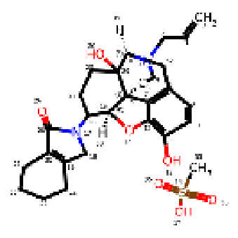 C=CCN1CC[C@]23c4c5ccc(O)c4O[C@H]2C(N2CC4=C(CCCC4)C2=O)CCC3(O)[C@H]1C5.CS(=O)(=O)O